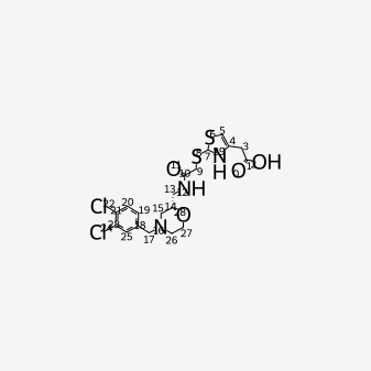 O=C(O)CC1=CSC(SCC(=O)NC[C@H]2CN(Cc3ccc(Cl)c(Cl)c3)CCO2)N1